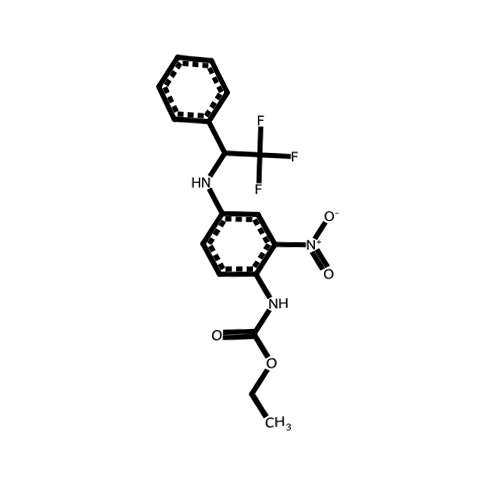 CCOC(=O)Nc1ccc(NC(c2ccccc2)C(F)(F)F)cc1[N+](=O)[O-]